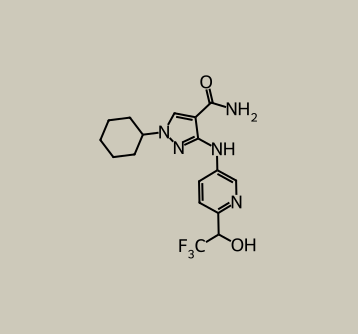 NC(=O)c1cn(C2CCCCC2)nc1Nc1ccc(C(O)C(F)(F)F)nc1